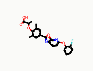 Cc1cc(-c2nc3ccc(Oc4ccccc4F)nc3o2)cc(C)c1OC(C)C(=O)O